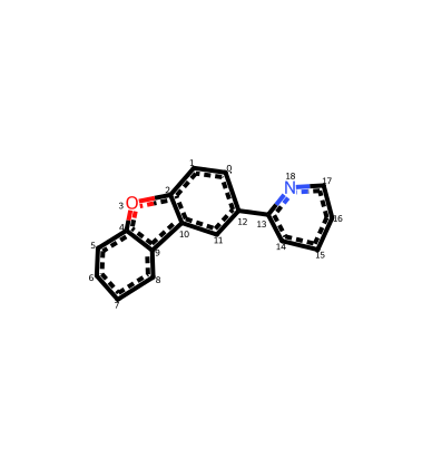 [c]1cc2oc3ccccc3c2cc1-c1ccccn1